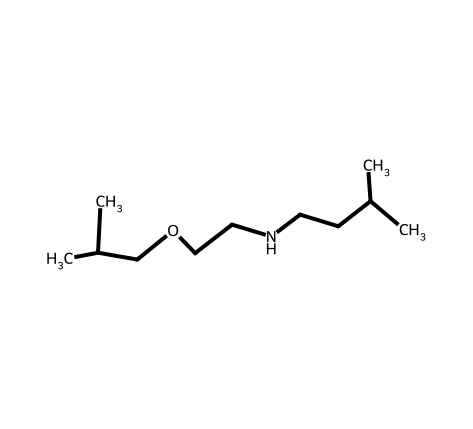 CC(C)CCNCCOCC(C)C